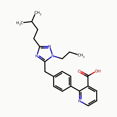 CCCn1nc(CCC(C)C)nc1Cc1ccc(-c2ncccc2C(=O)O)cc1